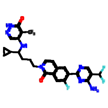 Nc1nc(-c2cc3ccn(CCCC(Nc4cn[nH]c(=O)c4C(F)(F)F)C4CC4)c(=O)c3cc2F)ncc1C(F)F